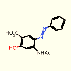 CC(=O)Nc1cc(O)c(C(=O)O)cc1N=Nc1ccccc1